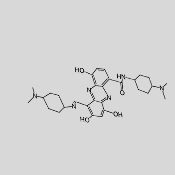 CN(C)C1CCC(/N=C/c2c(O)cc(O)c3nc4c(C(=O)NC5CCC(N(C)C)CC5)ccc(O)c4nc23)CC1